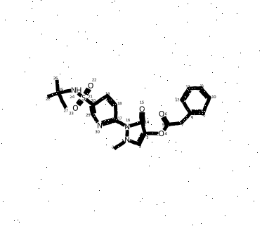 Cn1cc(OC(=O)Cc2ccccc2)c(=O)n1-c1ccc(S(=O)(=O)NC(C)(C)C)cn1